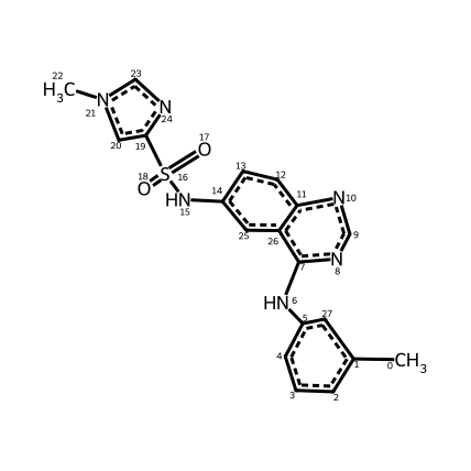 Cc1cccc(Nc2ncnc3ccc(NS(=O)(=O)c4cn(C)cn4)cc23)c1